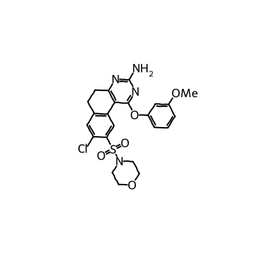 COc1cccc(Oc2nc(N)nc3c2-c2cc(S(=O)(=O)N4CCOCC4)c(Cl)cc2CC3)c1